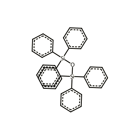 c1ccc([Si](O[Si](c2ccccc2)(c2ccccc2)c2ccccc2)(c2ccccc2)c2ccccc2)cc1